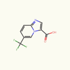 O=C(O)c1cnc2ccc(C(F)(F)F)cn12